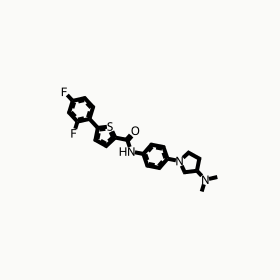 CN(C)C1CCN(c2ccc(NC(=O)c3ccc(-c4ccc(F)cc4F)s3)cc2)C1